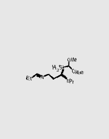 CCC=NCCC(CCC)[SiH2]C(OC)OC